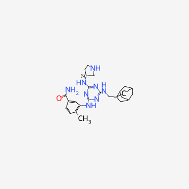 Cc1ccc(C(N)=O)cc1Nc1nc(NCC23CC4CC(CC2C4)C3)nc(N[C@H]2CCNC2)n1